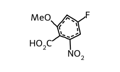 COc1cc(F)cc([N+](=O)[O-])c1C(=O)O